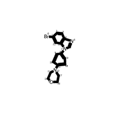 Brc1ccc2ncn(-c3ccc(N4CCOCC4)cc3)c2c1